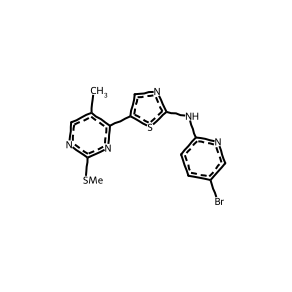 CSc1ncc(C)c(-c2cnc(Nc3ccc(Br)cn3)s2)n1